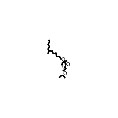 CCCCCC(C)CCCCCCOC(C)(CC)C(=O)OCCOC(C)CC